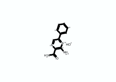 Cl.NC(=O)c1ncc(-c2ccccc2)nc1N